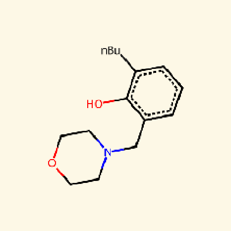 CCCCc1cccc(CN2CCOCC2)c1O